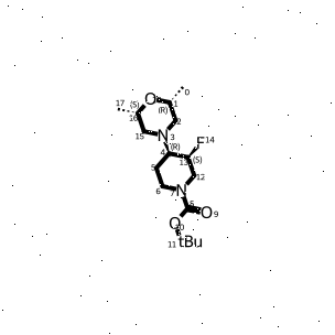 C[C@@H]1CN([C@@H]2CCN(C(=O)OC(C)(C)C)C[C@@H]2F)C[C@H](C)O1